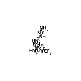 Nc1ccc(NCCNc2ncc(C3=NCCN3)c(-c3ccc(C(F)(F)F)cc3)n2)nc1